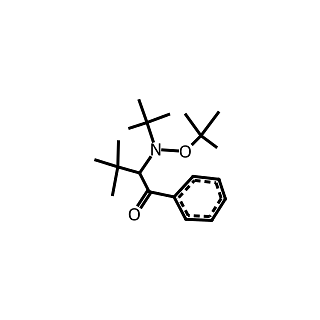 CC(C)(C)ON(C(C(=O)c1ccccc1)C(C)(C)C)C(C)(C)C